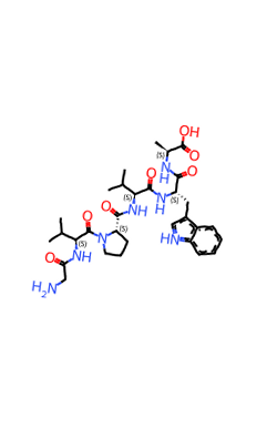 CC(C)[C@H](NC(=O)[C@@H]1CCCN1C(=O)[C@@H](NC(=O)CN)C(C)C)C(=O)N[C@@H](Cc1c[nH]c2ccccc12)C(=O)N[C@@H](C)C(=O)O